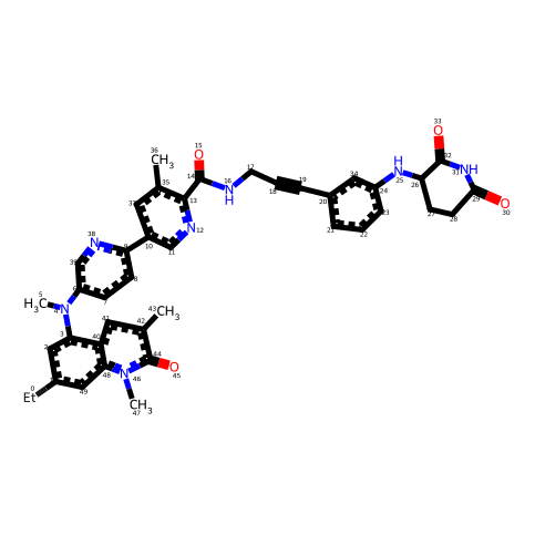 CCc1cc(N(C)c2ccc(-c3cnc(C(=O)NCC#Cc4cccc(NC5CCC(=O)NC5=O)c4)c(C)c3)nc2)c2cc(C)c(=O)n(C)c2c1